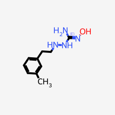 Cc1cccc(CCNN/C(N)=N/O)c1